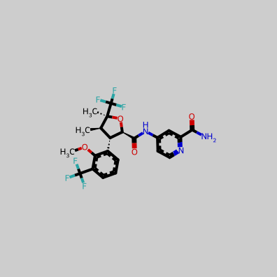 COc1c([C@@H]2[C@@H](C)[C@@](C)(C(F)(F)F)O[C@H]2C(=O)Nc2ccnc(C(N)=O)c2)cccc1C(F)(F)F